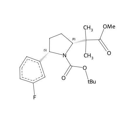 COC(=O)C(C)(C)[C@H]1CC[C@@H](c2cccc(F)c2)N1C(=O)OC(C)(C)C